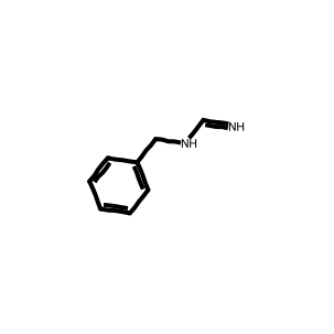 N=CNCc1ccccc1